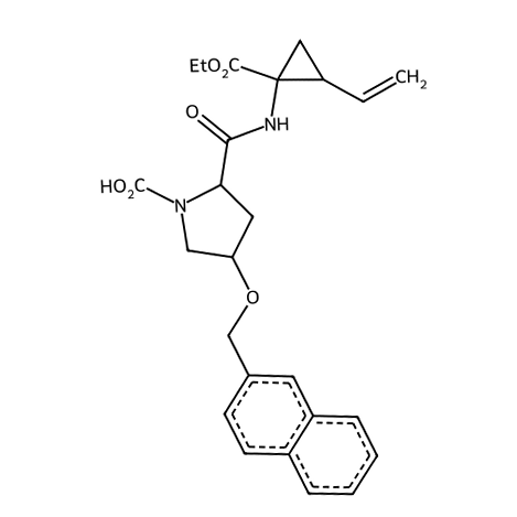 C=CC1CC1(NC(=O)C1CC(OCc2ccc3ccccc3c2)CN1C(=O)O)C(=O)OCC